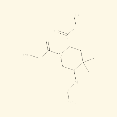 CCCCONC1CN(C(=O)OC(C)(C)C)[C@H](C(=O)OCCCC)CC1(C)C